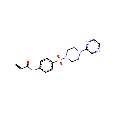 C=CC(=O)Nc1ccc(S(=O)(=O)N2CCN(c3cnccn3)CC2)cc1